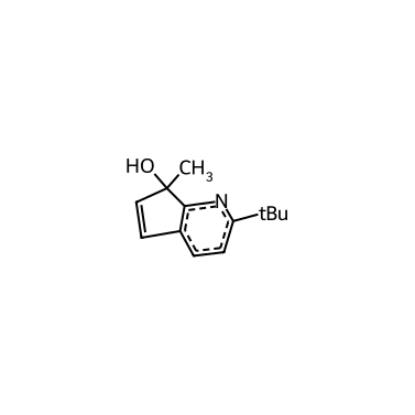 CC(C)(C)c1ccc2c(n1)C(C)(O)C=C2